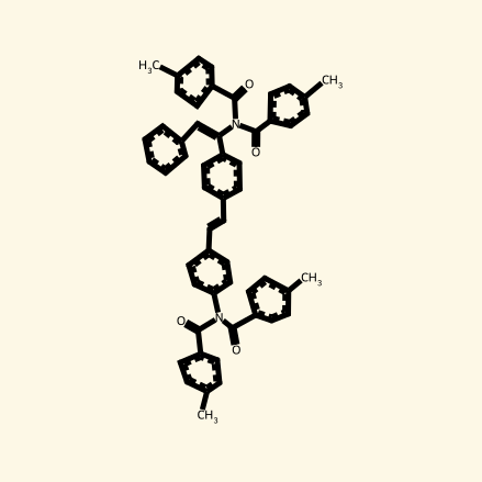 Cc1ccc(C(=O)N(C(=O)c2ccc(C)cc2)C(=Cc2ccccc2)c2ccc(C=Cc3ccc(N(C(=O)c4ccc(C)cc4)C(=O)c4ccc(C)cc4)cc3)cc2)cc1